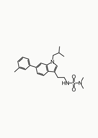 Cc1cccc(-c2ccc3c(CCNS(=O)(=O)N(C)C)cn(CC(C)C)c3c2)c1